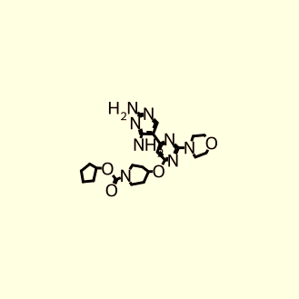 Nc1ncc(-c2cc(OC3CCN(C(=O)OC4CCCC4)CC3)nc(N3CCOCC3)n2)c(N)n1